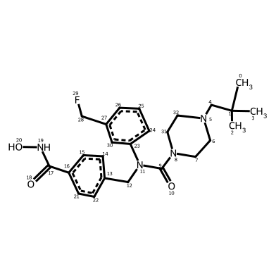 CC(C)(C)CN1CCN(C(=O)N(Cc2ccc(C(=O)NO)cc2)c2cccc(CF)c2)CC1